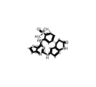 CP(C)(=O)c1ccccc1Nc1nc(Nc2ccc3c(c2)CCC(=O)N3)nc2ccsc12